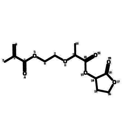 C=C(C)C(=O)OCCOC(C)C(=O)OC1CCOC1=O